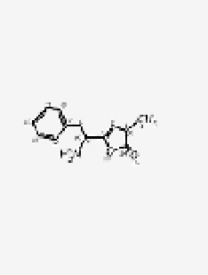 C[C@@H]1C=C([C@@H](N)Cc2ccccc2)OC1=O